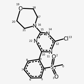 CS(=O)(=O)c1ccccc1-c1nc(Cl)nc(N2CCOCC2)n1